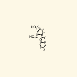 Cc1ccc(OC(=O)c2ccc(S(=O)(=O)O)cc2C(=O)O)cc1